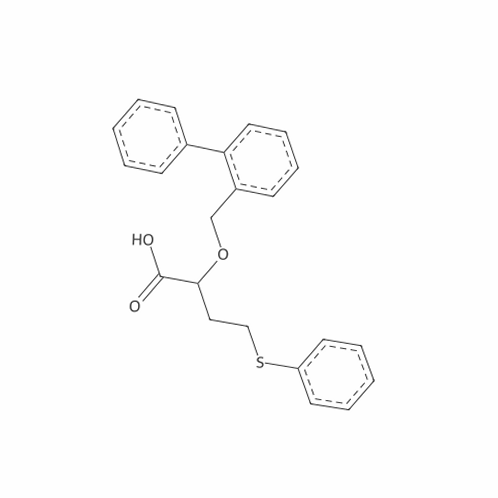 O=C(O)C(CCSc1ccccc1)OCc1ccccc1-c1ccccc1